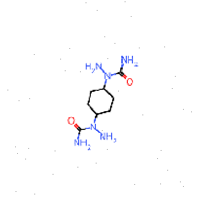 NC(=O)N(N)C1CCC(N(N)C(N)=O)CC1